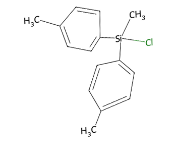 Cc1ccc([Si](C)(Cl)c2ccc(C)cc2)cc1